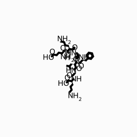 CC(C)C[C@H](NC(=O)[C@H](Cc1ccccc1)NC(=O)CNC(=O)[C@H](CCCCN)NC(=O)[C@@H](N)CCC(=O)O)C(=O)NCC(=O)N[C@@H](CCCCN)C(=O)O